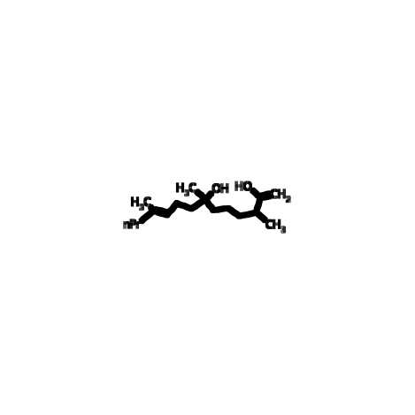 C=C(O)C(C)CCCC(C)(O)CC/C=C(\C)CCC